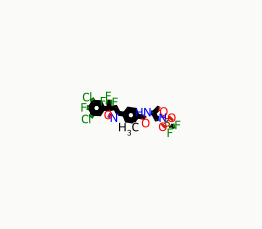 Cc1cc(C2=NOC(c3cc(Cl)c(F)c(Cl)c3)(C(F)(F)F)C2)ccc1C(=O)NC1CON(S(=O)(=O)C(F)F)C1